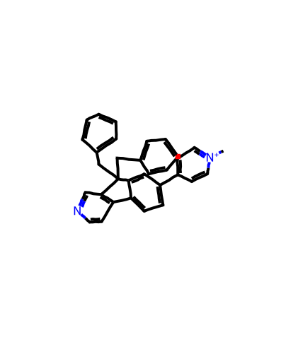 C[n+]1ccc(-c2ccc3c(c2)C(Cc2ccccc2)(Cc2ccccc2)c2cnccc2-3)cc1